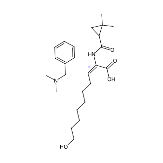 CC1(C)CC1C(=O)N/C(=C/CCCCCCCO)C(=O)O.CN(C)Cc1ccccc1